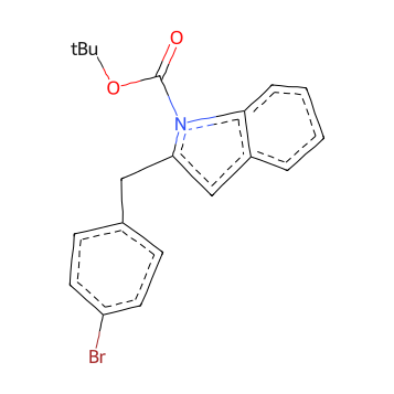 CC(C)(C)OC(=O)n1c(Cc2ccc(Br)cc2)cc2ccccc21